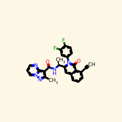 C#Cc1cccc2cc([C@H](C)NC(=O)c3c(C)nn4cccnc34)n(-c3ccc(F)c(F)c3)c(=O)c12